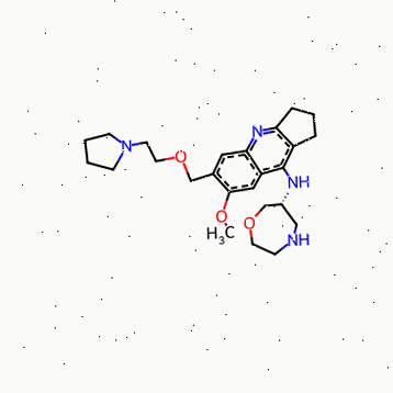 COc1cc2c(N[C@@H]3CNCCOC3)c3c(nc2cc1COCCN1CCCC1)CCC3